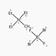 CC[N+](C)(CC)CC.F[B-](F)(Br)Br